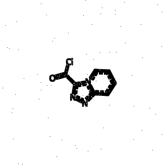 O=C(Cl)c1nnc2ccccn12